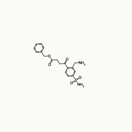 NCc1cc(S(N)(=O)=O)ccc1C(=O)CCC(=O)OCc1ccccc1